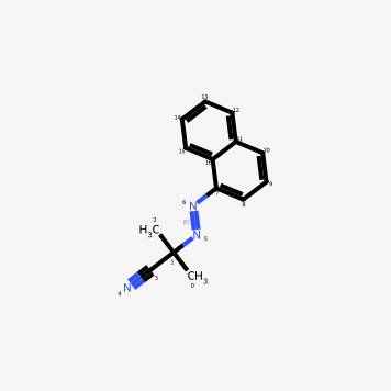 CC(C)(C#N)/N=N/c1cccc2ccccc12